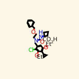 CCOc1cc(CN(CCOCc2ccccc2)C(=O)NC2(C(=O)O)CCC2)c(Cl)c(OCC)c1C1CC1